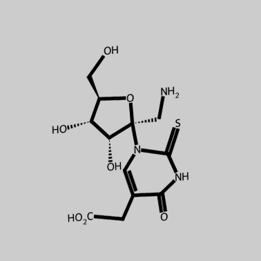 NC[C@@]1(n2cc(CC(=O)O)c(=O)[nH]c2=S)O[C@H](CO)[C@@H](O)[C@H]1O